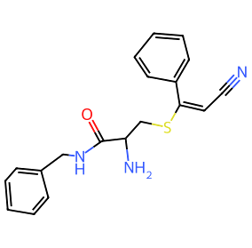 N#CC=C(SCC(N)C(=O)NCc1ccccc1)c1ccccc1